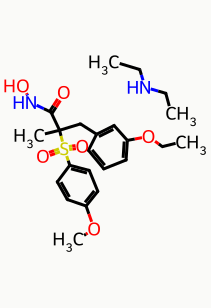 CCNCC.CCOc1cccc(CC(C)(C(=O)NO)S(=O)(=O)c2ccc(OC)cc2)c1